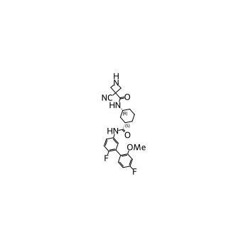 COc1cc(F)ccc1-c1cc(NC(=O)[C@H]2CCC[C@@H](NC(=O)C3(C#N)CNC3)C2)ccc1F